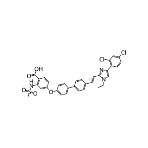 CCn1cc(-c2ccc(Cl)cc2Cl)nc1/C=C/c1ccc(-c2ccc(Oc3ccc(C(=O)O)c(NS(C)(=O)=O)c3)cc2)cc1